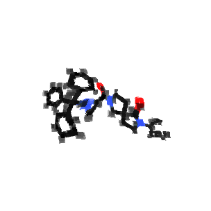 CC(C)[C@@H](C(=O)O)N1CCC2(CCN(C(=O)[C@H]3CN3C(c3ccccc3)(c3ccccc3)c3ccccc3)C2)C1=O